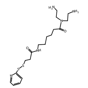 NCCN(CCN)C(=O)CCCCCNC(=O)CCSSc1ccccn1